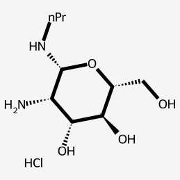 CCCN[C@@H]1O[C@H](CO)[C@@H](O)[C@H](O)[C@@H]1N.Cl